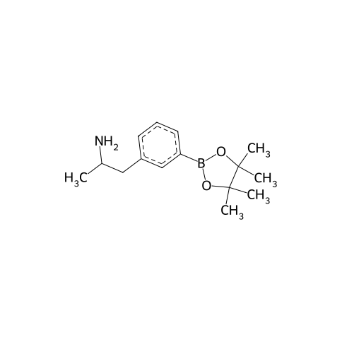 CC(N)Cc1cccc(B2OC(C)(C)C(C)(C)O2)c1